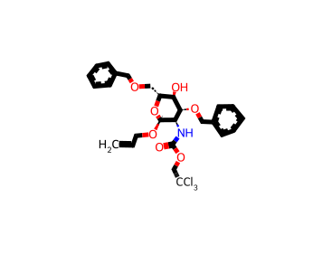 C=CCO[C@H]1O[C@H](COCc2ccccc2)[C@@H](O)[C@H](OCc2ccccc2)[C@@H]1NC(=O)OCC(Cl)(Cl)Cl